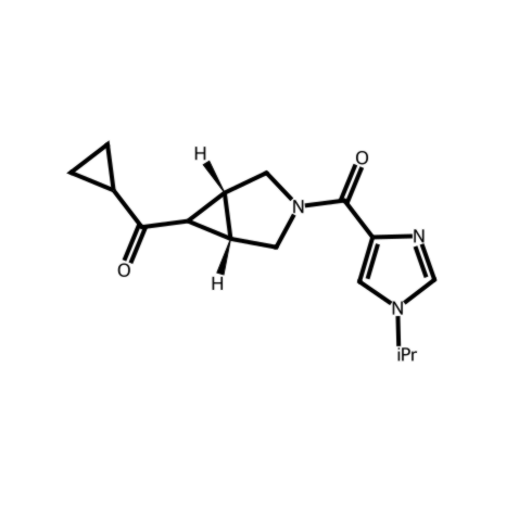 CC(C)n1cnc(C(=O)N2C[C@@H]3C(C(=O)C4CC4)[C@@H]3C2)c1